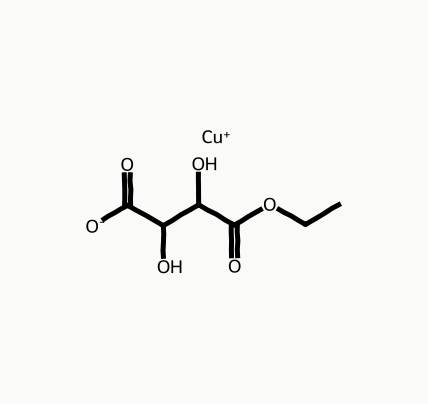 CCOC(=O)C(O)C(O)C(=O)[O-].[Cu+]